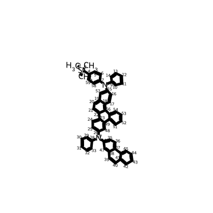 C[Si](C)(C)c1ccc(N(c2ccccc2)c2ccc3c(ccc4c5ccc(N(c6ccccc6)c6ccc7c(ccc8ccccc87)c6)cc5c5ccccc5c34)c2)cc1